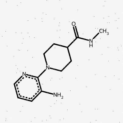 CNC(=O)C1CCN(c2ncccc2N)CC1